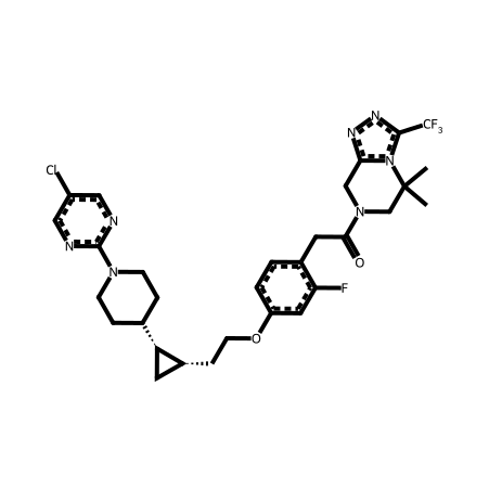 CC1(C)CN(C(=O)Cc2ccc(OCC[C@@H]3C[C@@H]3C3CCN(c4ncc(Cl)cn4)CC3)cc2F)Cc2nnc(C(F)(F)F)n21